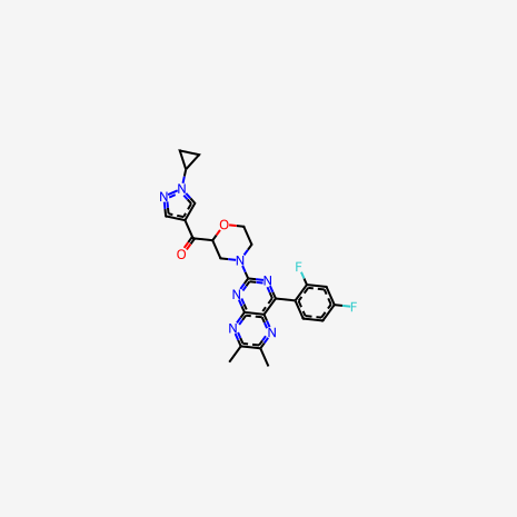 Cc1nc2nc(N3CCOC(C(=O)c4cnn(C5CC5)c4)C3)nc(-c3ccc(F)cc3F)c2nc1C